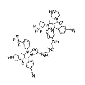 CC1=C(C(=O)N2CCNCC2)[C@@H](c2ccc(C#N)cc2)N(CC(=O)NCC[N+](C)(C)CCNC(=O)CN2C(=O)N(c3cccc(C(F)(F)F)c3)C(C)=C(C(=O)N3CCNCC3)[C@H]2c2ccc(C#N)cc2)C(=O)N1c1cccc(C(F)(F)F)c1